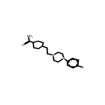 NC(=O)C1CCC(CCN2CCN(c3ccc(F)cc3)CC2)CC1